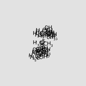 CO[SiH](CCCS[Si](C)(C)SCCC[SiH](C)P(PC(C)(C)[Si](C)(C)O)C(C)(C)[Si](C)(C)O)P(PC(C)(C)[Si](C)(C)O)C(C)(C)[Si](C)(C)O